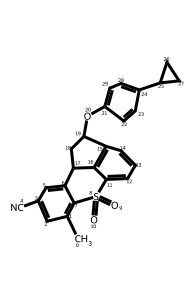 Cc1cc(C#N)cc2c1S(=O)(=O)c1cccc3c1C2CC3Oc1ccc(C2CC2)cc1